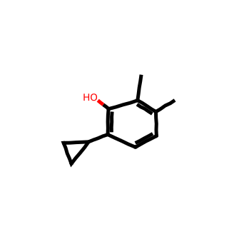 Cc1ccc(C2CC2)c(O)c1C